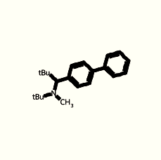 CN(C(c1ccc(-c2ccccc2)cc1)C(C)(C)C)C(C)(C)C